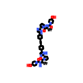 CC(C)[C@@H](NC(=O)N1CCC(O)CC1)C(=O)N1CCC[C@H]1c1ncc(-c2ccc(C#Cc3ccc(-c4cnc([C@@H]5CCCN5C(=O)[C@H](NC(=O)N5CCC(O)CC5)C(C)C)[nH]4)cc3)cc2)[nH]1